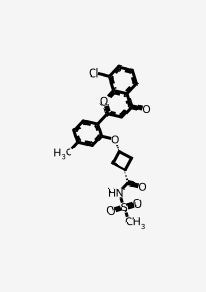 Cc1ccc(-c2cc(=O)c3cccc(Cl)c3o2)c(O[C@H]2C[C@@H](C(=O)NS(C)(=O)=O)C2)c1